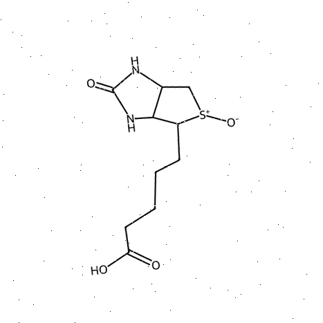 O=C(O)CCCCC1C2NC(=O)NC2C[S+]1[O-]